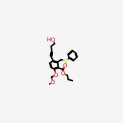 CCCOC(=O)c1c(OCOC)ccc(C#CCCO)c1CSc1ccccc1